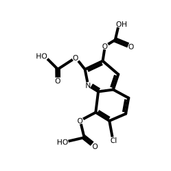 O=C(O)Oc1cc2ccc(Cl)c(OC(=O)O)c2nc1OC(=O)O